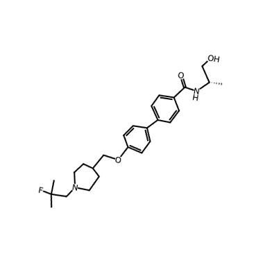 C[C@@H](CO)NC(=O)c1ccc(-c2ccc(OCC3CCN(CC(C)(C)F)CC3)cc2)cc1